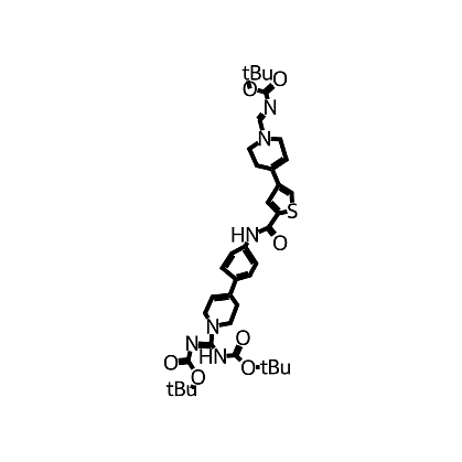 CC(C)(C)OC(=O)N=CN1CC=C(c2csc(C(=O)Nc3ccc(C4=CCN(C(=NC(=O)OC(C)(C)C)NC(=O)OC(C)(C)C)CC4)cc3)c2)CC1